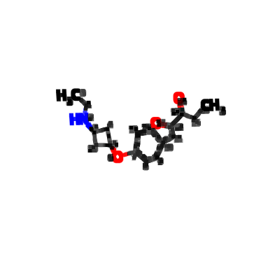 CCN[C@H]1C[C@@H](Oc2ccc3cc(C(=O)CC)oc3c2)C1